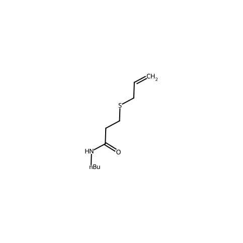 C=CCSCCC(=O)NCCCC